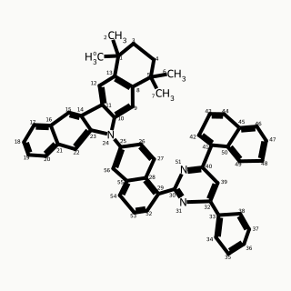 CC1(C)CCC(C)(C)c2cc3c(cc21)c1cc2ccccc2cc1n3-c1ccc2c(-c3nc(-c4ccccc4)cc(-c4cccc5ccccc45)n3)cccc2c1